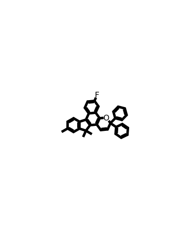 Cc1ccc2c(c1)C(C)(C)c1c3c(c4cc(F)ccc4c1-2)OC(c1ccccc1)(c1ccccc1)C=C3